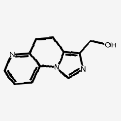 OCc1ncn2c1CCc1ncccc1-2